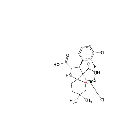 CC1(C)CCC2(CC1)N[C@H](C(=O)O)[C@@H](c1ccnc(Cl)c1F)[C@@]21C(=O)Nc2cc(Cl)ccc21